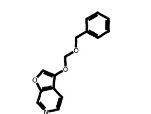 c1ccc(COCOc2coc3cnccc23)cc1